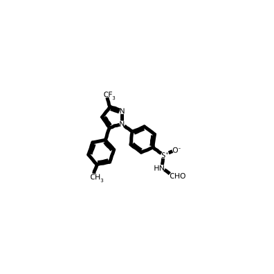 Cc1ccc(-c2cc(C(F)(F)F)nn2-c2ccc([S+]([O-])NC=O)cc2)cc1